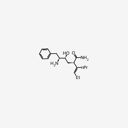 CCC=C(CCC)[C@@H](C[C@H](O)[C@@H](N)Cc1ccccc1)C(N)=O